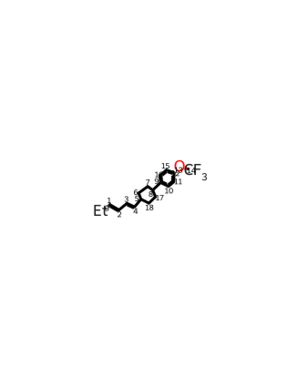 CCC=CC=CC1CCC(c2ccc(OC(F)(F)F)cc2)CC1